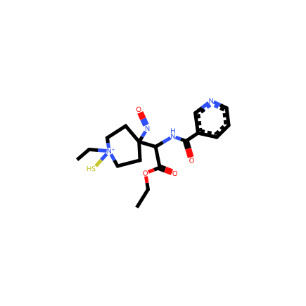 CCOC(=O)C(NC(=O)c1cccnc1)C1(N=O)CC[N+](S)(CC)CC1